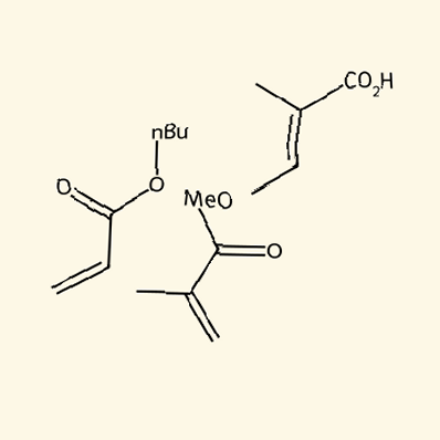 C=C(C)C(=O)OC.C=CC(=O)OCCCC.CC=C(C)C(=O)O